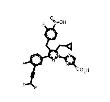 O=C(O)c1csc(-n2nc(-c3ccc(F)c(C#CC(F)F)c3)c(Cc3ccc(S(=O)O)c(F)c3)c2CC2CC2)n1